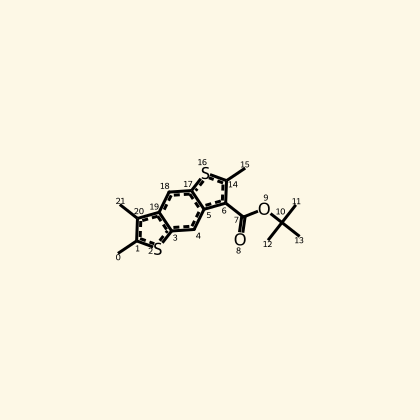 Cc1sc2cc3c(C(=O)OC(C)(C)C)c(C)sc3cc2c1C